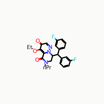 CCCN1CC(C(c2cccc(F)c2)c2cccc(F)c2)n2ncc(=O)c(OCC)c2C1=O